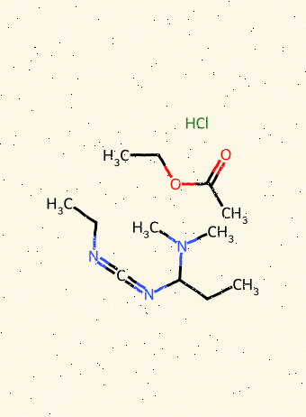 CCN=C=NC(CC)N(C)C.CCOC(C)=O.Cl